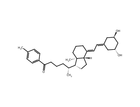 Cc1ccc(C(=O)CCC[C@@H](C)[C@H]2CC[C@H]3/C(=C/C=C4C[C@@H](O)C[C@H](O)C4)CCC[C@]23C)cc1